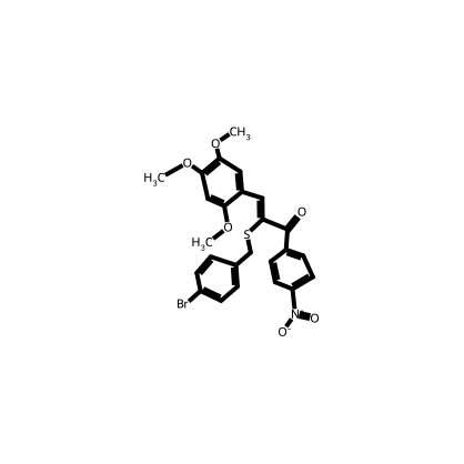 COc1cc(OC)c(OC)cc1C=C(SCc1ccc(Br)cc1)C(=O)c1ccc([N+](=O)[O-])cc1